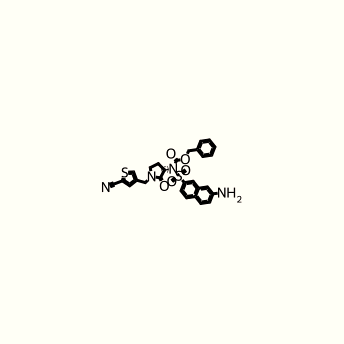 N#Cc1cc(CN2CC[C@H](N(C(=O)OCc3ccccc3)S(=O)(=O)c3ccc4ccc(N)cc4c3)C2=O)cs1